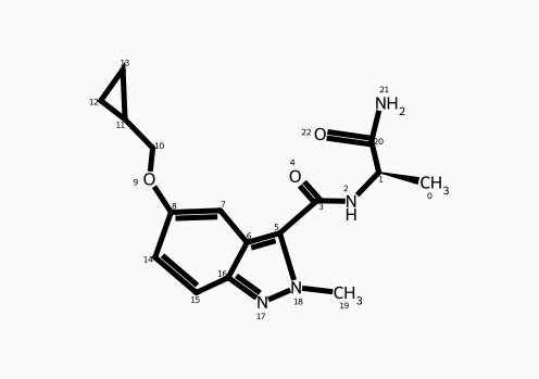 C[C@@H](NC(=O)c1c2cc(OCC3CC3)ccc2nn1C)C(N)=O